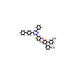 N#Cc1cccc(-c2cc3c(cc2-c2cccc(C#N)c2)Oc2cc(-c4nc(-c5ccccc5)nc(-c5ccc(-c6ccccc6)cc5)n4)ccc2O3)c1